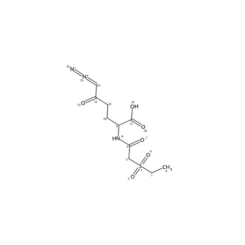 CCS(=O)(=O)CC(=O)NC(CCC(=O)C=[N+]=[N-])C(=O)O